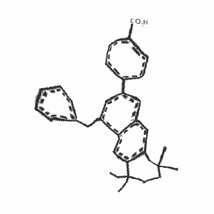 CC1(C)CCC(C)(C)c2cc3c(Cc4ccccc4)cc(-c4ccc(C(=O)O)cc4)cc3cc21